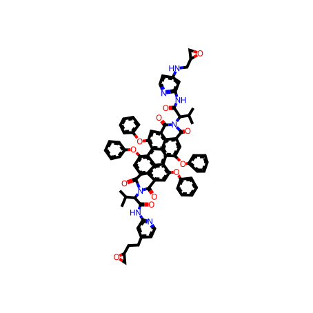 CC(C)C(C(=O)Nc1cc(CCC2CO2)ccn1)N1C(=O)c2cc(Oc3ccccc3)c3c4c(Oc5ccccc5)cc5c6c(cc(Oc7ccccc7)c(c7c(Oc8ccccc8)cc(c2c37)C1=O)c64)C(=O)N(C(C(=O)Nc1cc(NCC2CO2)ccn1)C(C)C)C5=O